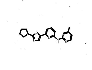 Cc1ccnc(Nc2cccc(-c3cnc(N4CCCC4)o3)n2)c1